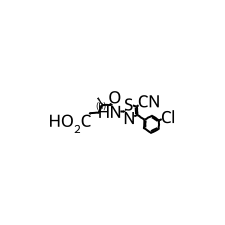 C[C@H](CCC(=O)O)C(=O)Nc1nc(-c2cccc(Cl)c2)c(C#N)s1